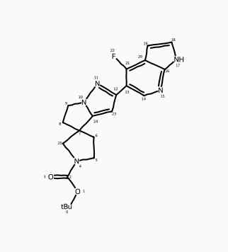 CC(C)(C)OC(=O)N1CCC2(CCn3nc(-c4cnc5[nH]ccc5c4F)cc32)C1